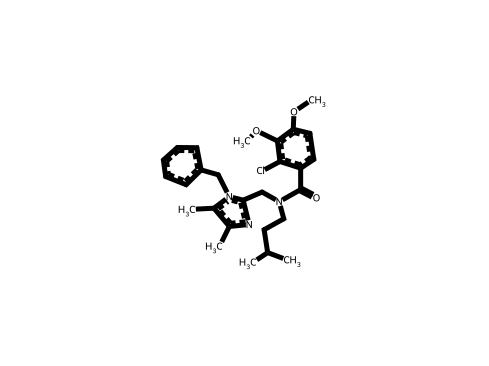 COc1ccc(C(=O)N(CCC(C)C)Cc2nc(C)c(C)n2Cc2ccccc2)c(Cl)c1OC